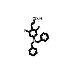 O=C(O)C=Cc1c(F)cc(N(Cc2ccccc2)Cc2ccccc2)cc1F